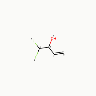 C=CC(O)C(F)F